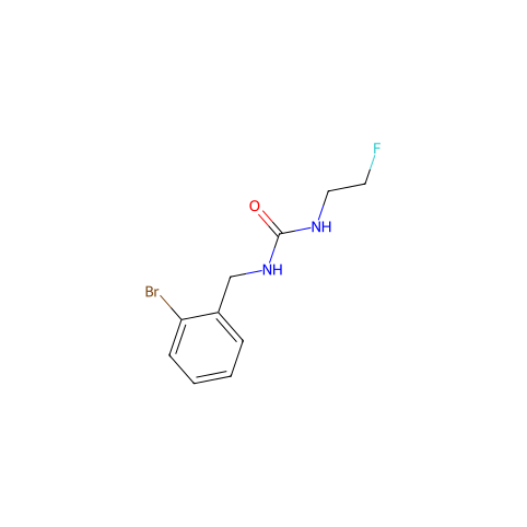 O=C(NCCF)NCc1ccccc1Br